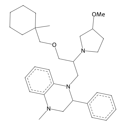 COC1CCN(C(COCC2(C)CCCCC2)CN2c3ccccc3N(C)CC2c2ccccc2)C1